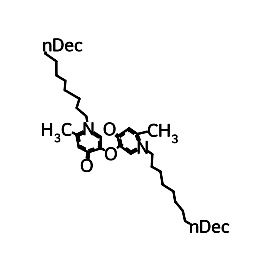 CCCCCCCCCCCCCCCCCCn1cc(Oc2cn(CCCCCCCCCCCCCCCCCC)c(C)cc2=O)c(=O)cc1C